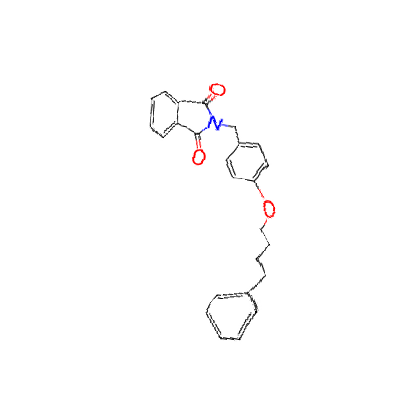 O=C1c2ccccc2C(=O)N1Cc1ccc(OCCCCc2ccccc2)cc1